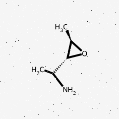 CC(N)[C@H]1O[C@@H]1C